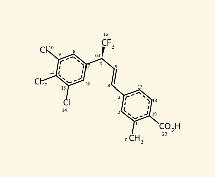 Cc1cc(C=C[C@@H](c2cc(Cl)c(Cl)c(Cl)c2)C(F)(F)F)ccc1C(=O)O